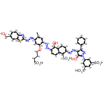 Cc1cc(N=Nc2ccc3c(S(=O)(=O)O)c(N=Nc4c(-c5ccccc5)nn(-c5cc(S(=O)(=O)O)cc(S(=O)(=O)O)c5)c4O)ccc3c2O)c(OCCCS(=O)(=O)O)cc1N=Nc1nc2ccc(CO)cc2s1